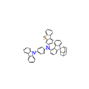 c1ccc2c(c1)-c1c(N(c3ccc(-n4c5ccccc5c5ccccc54)cc3)c3ccc4c(c3)sc3ccccc34)cccc1C21C2CC3CC(C2)CC1C3